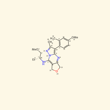 CC[C@H](COC)Nc1c2c(nc3c(-c4ccc(OC)cc4C)c(C)nn13)COC2